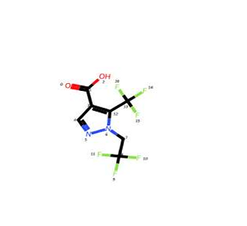 O=C(O)c1cnn(CC(F)(F)F)c1C(F)(F)F